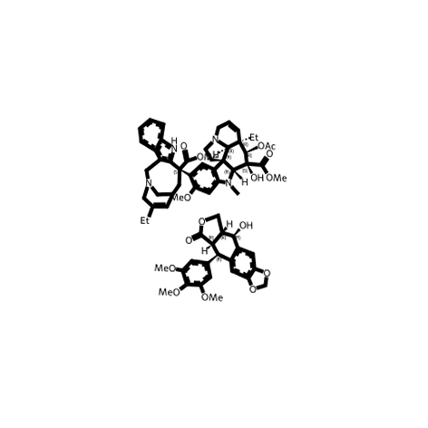 CCC1=CC2CN(C1)Cc1c([nH]c3ccccc13)[C@@](C(=O)OC)(c1cc3c(cc1OC)N(C)[C@H]1[C@@](O)(C(=O)OC)[C@H](OC(C)=O)[C@]4(CC)C=CCN5CC[C@]31[C@@H]54)C2.COc1cc([C@@H]2c3cc4c(cc3[C@H](O)[C@H]3COC(=O)[C@H]23)OCO4)cc(OC)c1OC